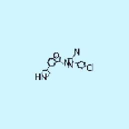 N#Cc1cn(Cc2coc3ccc(C4=CCNCC4)cc23)nc1-c1ccc(Cl)cc1